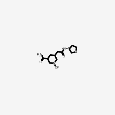 NC(=O)C1CC(CC(=O)N[C@@H]2CCOC2)CN(O)C1